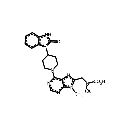 Cn1c(CN(C(=O)O)C(C)(C)C)nc2c(N3CCC(n4c(=O)[nH]c5ccccc54)CC3)ncnc21